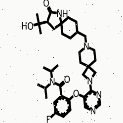 CC(C)N(C(=O)c1cc(F)ccc1Oc1cncnc1N1CC2(CCN(CC3CCC4(CC3)CC(C(C)(C)O)C(=O)N4)CC2)C1)C(C)C